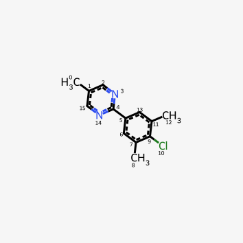 Cc1cnc(-c2cc(C)c(Cl)c(C)c2)nc1